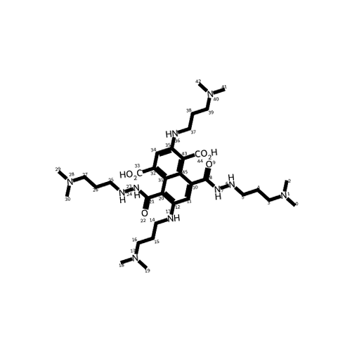 CN(C)CCCNNC(=O)c1cc(NCCCN(C)C)c(C(=O)NNCCCN(C)C)c2c(C(=O)O)cc(NCCCN(C)C)c(C(=O)O)c12